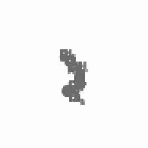 COc1ccc2[nH]c([S+]([O-])Cc3cc(Oc4c(C)cccc4C)ccn3)nc2c1